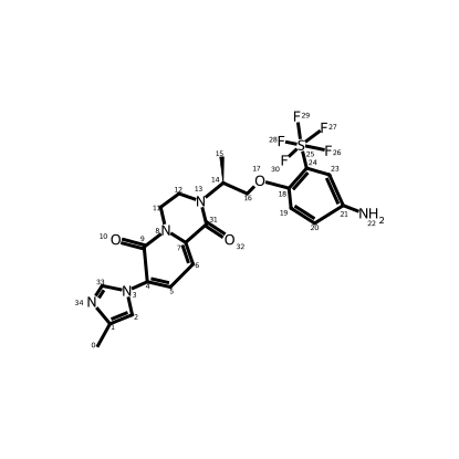 Cc1cn(-c2ccc3n(c2=O)CCN([C@@H](C)COc2ccc(N)cc2S(F)(F)(F)(F)F)C3=O)cn1